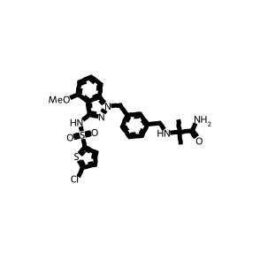 COc1cccc2c1c(NS(=O)(=O)c1ccc(Cl)s1)nn2Cc1cccc(CNC(C)(C)C(N)=O)c1